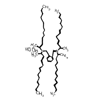 CCCCCCCCCCCC(C)N(Cc1ccccc1CN(C(C)CCCCCCCCCCC)C(C)CCCCCCCCCCC)C(C)CCCCCCCCCCC.Cl.Cl